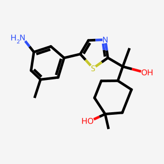 Cc1cc(N)cc(-c2cnc(C(C)(O)C3CCC(C)(O)CC3)s2)c1